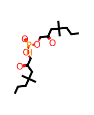 CCCC(C)(C)CC(=O)CO[PH](=O)OCC(=O)CC(C)(C)CCC